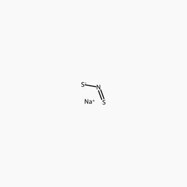 S=N[S-].[Na+]